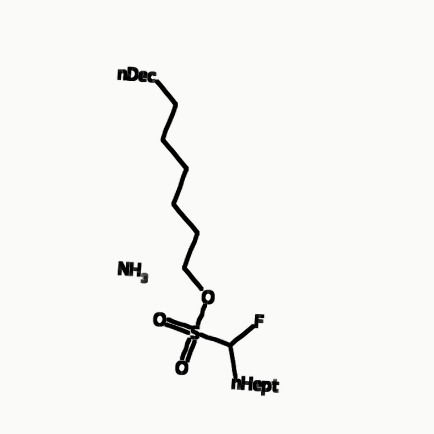 CCCCCCCCCCCCCCCCOS(=O)(=O)C(F)CCCCCCC.N